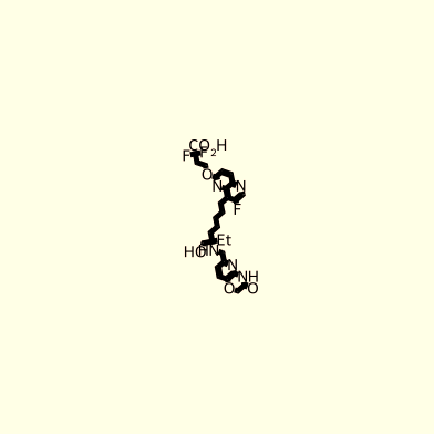 CCC(CO)(CCCCCc1c(F)cnc2ccc(OCCC(F)(F)C(=O)O)nc12)NCc1ccc2c(n1)NC(=O)CO2